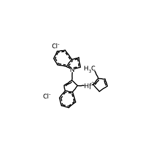 CC1=[C]([Hf+2][CH]2C(n3ccc4ccccc43)=Cc3ccccc32)CC=C1.[Cl-].[Cl-]